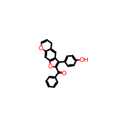 O=C(c1ccccc1)c1oc2cc3c(cc2c1-c1ccc(O)cc1)CC=CO3